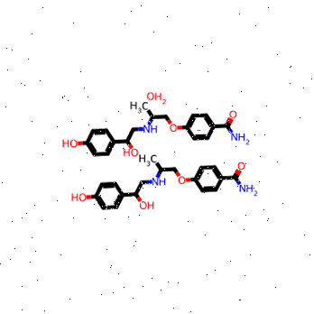 CC(COc1ccc(C(N)=O)cc1)NCC(O)c1ccc(O)cc1.CC(COc1ccc(C(N)=O)cc1)NCC(O)c1ccc(O)cc1.O